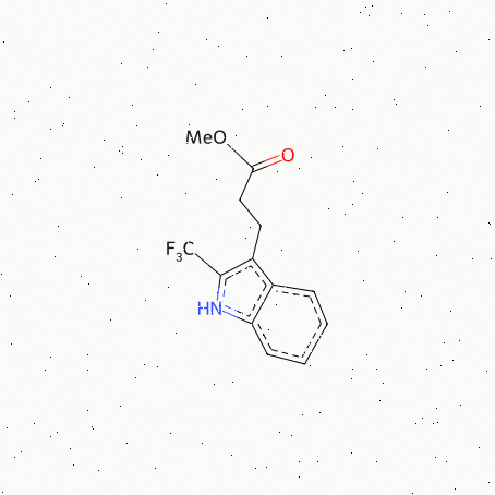 COC(=O)CCc1c(C(F)(F)F)[nH]c2ccccc12